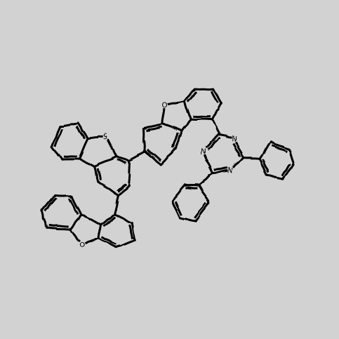 c1ccc(-c2nc(-c3ccccc3)nc(-c3cccc4oc5cc(-c6cc(-c7cccc8oc9ccccc9c78)cc7c6sc6ccccc67)ccc5c34)n2)cc1